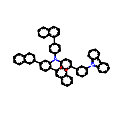 c1cc(-c2ccc(N(c3ccc(-c4cccc5ccccc45)cc3)c3cc(-c4ccc5ccccc5c4)ccc3-c3ccc4ccccc4c3)cc2)cc(-n2c3ccccc3c3ccccc32)c1